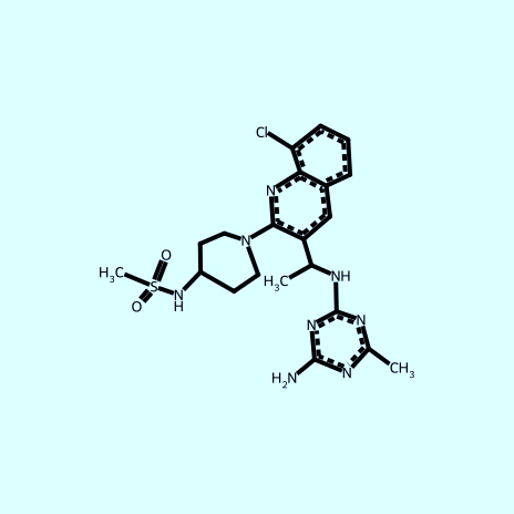 Cc1nc(N)nc(NC(C)c2cc3cccc(Cl)c3nc2N2CCC(NS(C)(=O)=O)CC2)n1